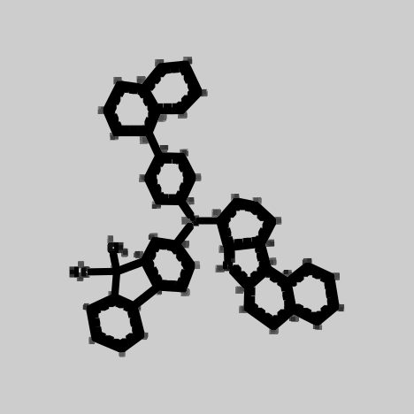 CC1(C)c2ccccc2-c2ccc(N(c3ccc(-c4cccc5ccccc45)cc3)c3cccc4c3oc3ccc5ccccc5c34)cc21